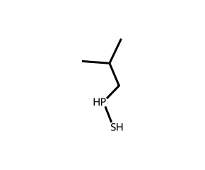 CC(C)CPS